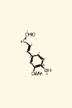 COc1cc(/C=C/OC=O)ccc1O